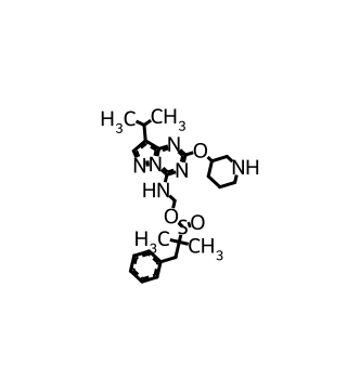 CC(C)c1cnn2c(NCOS(=O)C(C)(C)Cc3ccccc3)nc(OC3CCCNC3)nc12